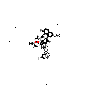 CC(C)[Si](C#Cc1c(F)ccc2cc(O)cc(-c3ncc4c(N5C[C@@H](C)N[C@@H](C)C5)nc(OC[C@@]56CCCN5C[C@H](F)C6)nc4c3F)c12)(C(C)C)C(C)C